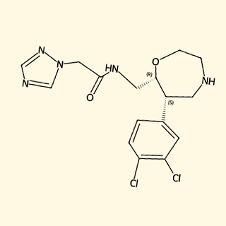 O=C(Cn1cncn1)NC[C@@H]1OCCNC[C@@H]1c1ccc(Cl)c(Cl)c1